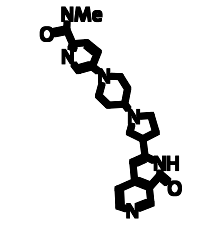 CNC(=O)c1ccc(N2CCC(N3CCC(c4cc5ccncc5c(=O)[nH]4)C3)CC2)cn1